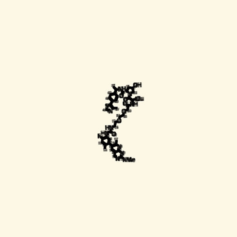 CNc1ncc2cc(-c3cc(NC(=O)NCCOCCOCC(=O)NC(C(=O)N4C[C@H](O)C[C@H]4C(=O)NC(C)c4ccc(-c5scnc5C)cc4)C(C)(C)C)c(F)cc3C)c(C)nc2n1